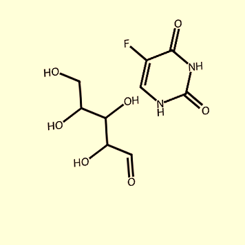 O=CC(O)C(O)C(O)CO.O=c1[nH]cc(F)c(=O)[nH]1